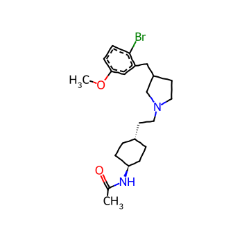 COc1ccc(Br)c(CC2CCN(CC[C@H]3CC[C@H](NC(C)=O)CC3)C2)c1